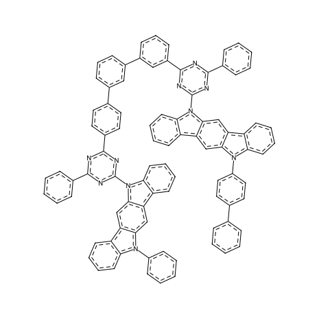 c1ccc(-c2ccc(-n3c4ccccc4c4cc5c(cc43)c3ccccc3n5-c3nc(-c4ccccc4)nc(-c4cccc(-c5cccc(-c6ccc(-c7nc(-c8ccccc8)nc(-n8c9ccccc9c9cc%10c(cc98)c8ccccc8n%10-c8ccccc8)n7)cc6)c5)c4)n3)cc2)cc1